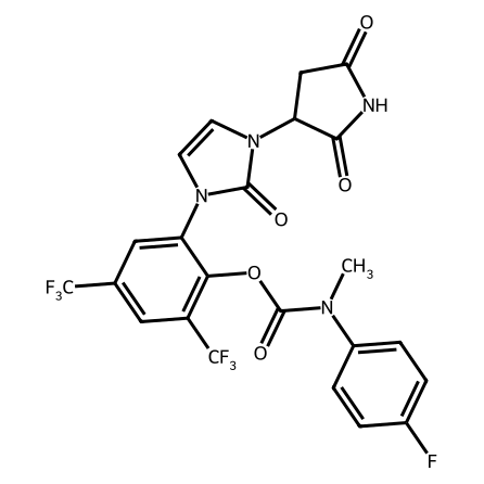 CN(C(=O)Oc1c(-n2ccn(C3CC(=O)NC3=O)c2=O)cc(C(F)(F)F)cc1C(F)(F)F)c1ccc(F)cc1